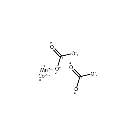 O=C([O-])[O-].O=C([O-])[O-].[Co+2].[Mn+2]